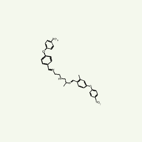 Cc1cc(Oc2ccc([N+](=O)[O-])cc2)ccc1C=NC(C)CNCCN=Cc1ccc(Oc2ccc([N+](=O)[O-])cc2)cc1